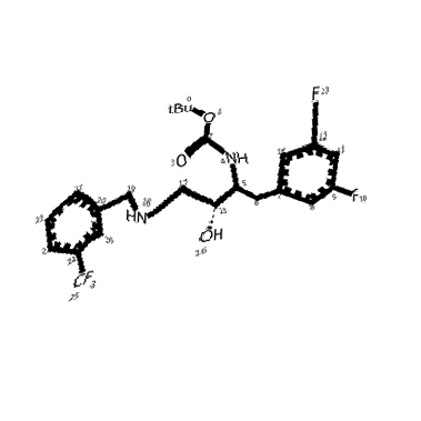 CC(C)(C)OC(=O)NC(Cc1cc(F)cc(F)c1)[C@H](O)CNCc1cccc(C(F)(F)F)c1